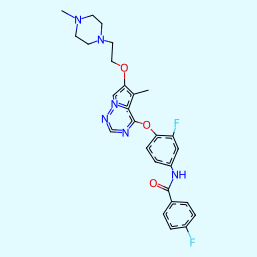 Cc1c(OCCN2CCN(C)CC2)cn2ncnc(Oc3ccc(NC(=O)c4ccc(F)cc4)cc3F)c12